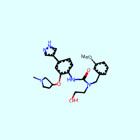 COc1cccc(CN(CCO)C(=O)Nc2ccc(-c3cn[nH]c3)cc2OC2CCN(C)C2)c1